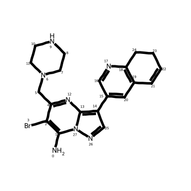 Nc1c(Br)c(CN2CCNCC2)nc2c(-c3cnc4c(c3)C=CCC4)cnn12